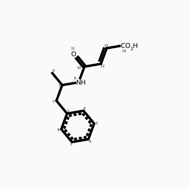 CC(Cc1ccccc1)NC(=O)C=CC(=O)O